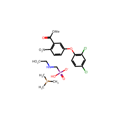 COC(=O)c1cc(Oc2ccc(Cl)cc2Cl)ccc1[N+](=O)[O-].C[S+](C)C.O=C(O)CNCP(=O)([O-])O